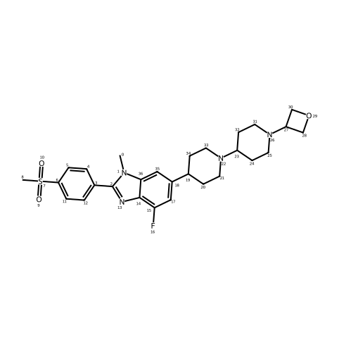 Cn1c(-c2ccc(S(C)(=O)=O)cc2)nc2c(F)cc(C3CCN(C4CCN(C5COC5)CC4)CC3)cc21